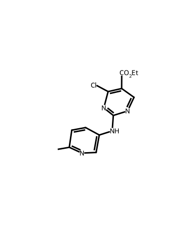 CCOC(=O)c1cnc(Nc2ccc(C)nc2)nc1Cl